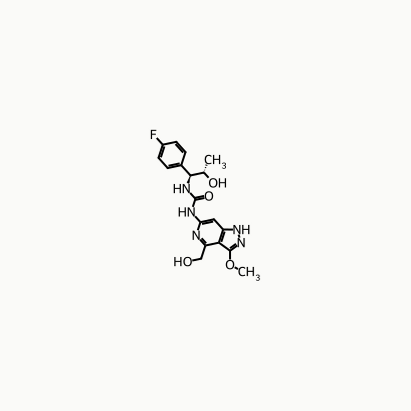 COc1n[nH]c2cc(NC(=O)N[C@@H](c3ccc(F)cc3)[C@H](C)O)nc(CO)c12